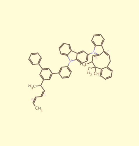 C/C=C\C=C/C(C)c1cc(-c2ccccc2)cc(-c2cccc(-n3c4ccccc4c4cc(-n5c6/c(c7ccccc75)=C\Cc5ccccc5C(C)(C)C(C)/C=6)ccc43)c2)c1